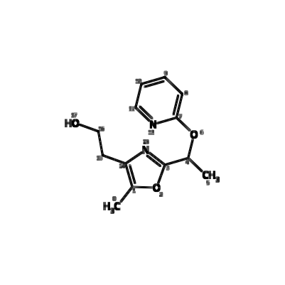 Cc1oc(C(C)Oc2ccccn2)nc1CCO